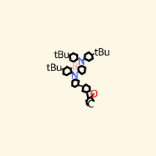 CC(C)(C)c1ccc(N2c3ccc(C(C)(C)C)cc3B3c4cc(C(C)(C)C)ccc4N(c4cccc(-c5ccc6oc7ccccc7c6c5)c4)c4cccc2c43)cc1